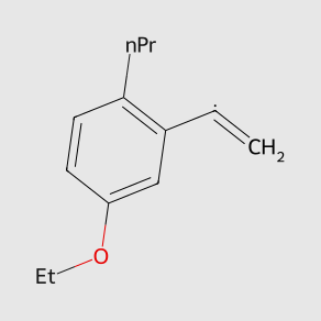 C=[C]c1cc(OCC)ccc1CCC